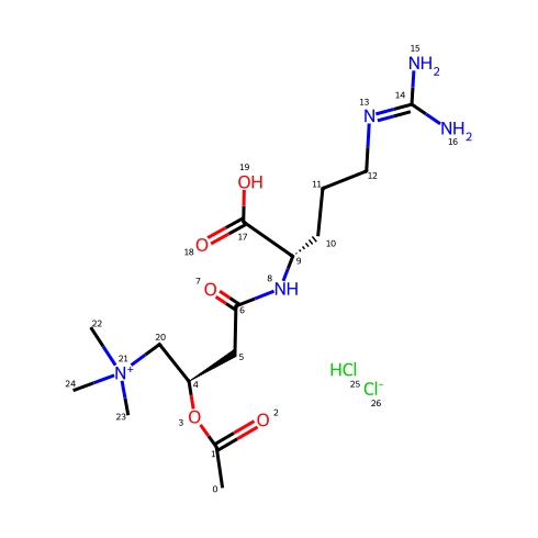 CC(=O)O[C@H](CC(=O)N[C@@H](CCCN=C(N)N)C(=O)O)C[N+](C)(C)C.Cl.[Cl-]